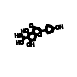 O=c1cc(-c2ccc(O)cc2)oc2cc(O)c(B(O)O)c(O)c12